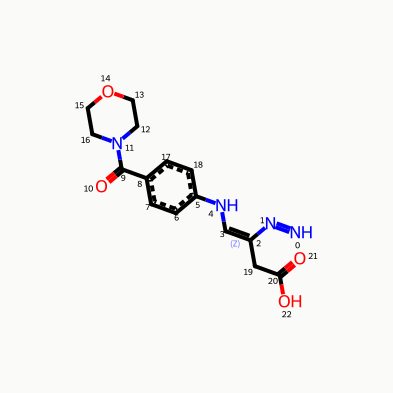 N=N/C(=C\Nc1ccc(C(=O)N2CCOCC2)cc1)CC(=O)O